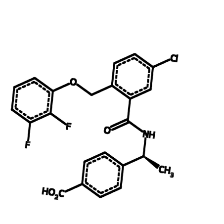 C[C@H](NC(=O)c1cc(Cl)ccc1COc1cccc(F)c1F)c1ccc(C(=O)O)cc1